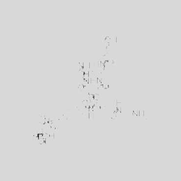 NCCCNC(=O)CCOCC(COCCC(=O)NCCCN)(COCCC(=O)NCCCNC(=O)CCCCO)NC(=O)CCCCCCCCC(=O)N1CCC[C@H]1COP(=O)(O)O